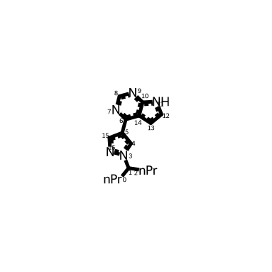 CCCC(CCC)n1cc(-c2ncnc3[nH]ccc23)cn1